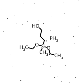 CCO[Si](C)(CCCO)OCC.P